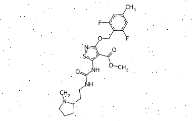 COC(=O)c1c(OCc2c(F)cc(C)cc2F)nsc1NC(=O)NCCC1CCCN1C